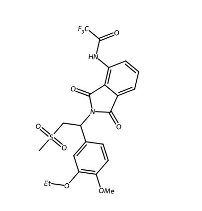 CCOc1cc(C(CS(C)(=O)=O)N2C(=O)c3cccc(NC(=O)C(F)(F)F)c3C2=O)ccc1OC